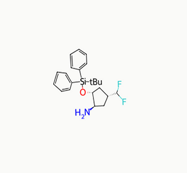 CC(C)(C)[Si](O[C@@H]1C[C@H](C(F)F)C[C@H]1N)(c1ccccc1)c1ccccc1